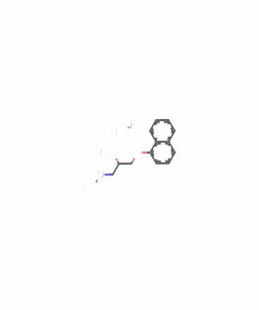 CC(C)NCC(O)COc1cccc2ccccc12.CCO